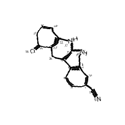 N#Cc1ccc2c3c([nH]c2c1)NC1=C(C3)C(=O)CC=C1